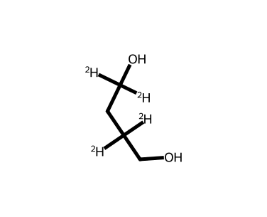 [2H]C([2H])(O)CC([2H])([2H])CO